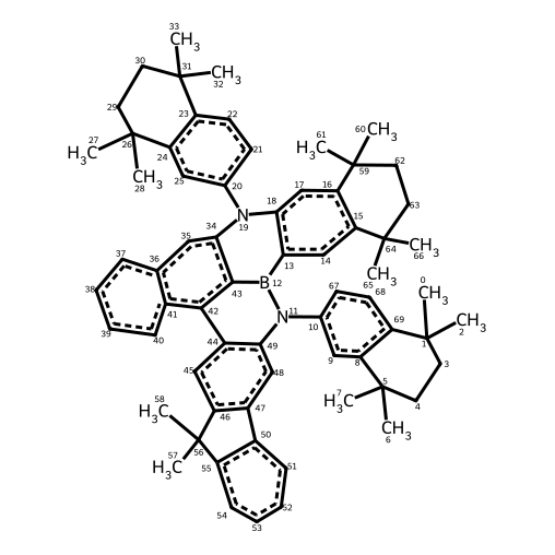 CC1(C)CCC(C)(C)c2cc(N3B4c5cc6c(cc5N(c5ccc7c(c5)C(C)(C)CCC7(C)C)c5cc7ccccc7c(c54)-c4cc5c(cc43)-c3ccccc3C5(C)C)C(C)(C)CCC6(C)C)ccc21